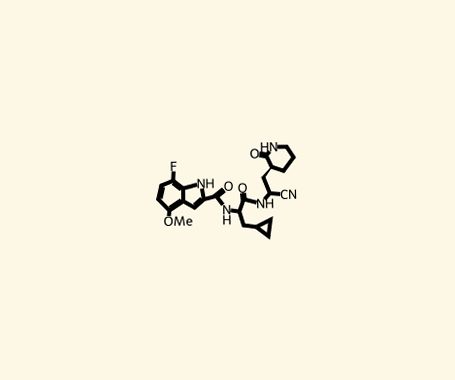 COc1ccc(F)c2[nH]c(C(=O)NC(CC3CC3)C(=O)NC(C#N)C[C@@H]3CCCNC3=O)cc12